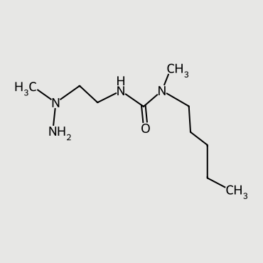 CCCCCN(C)C(=O)NCCN(C)N